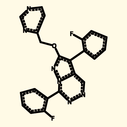 Fc1ccccc1-c1c(OCc2ccncn2)nn2c(-c3ccccc3F)nncc12